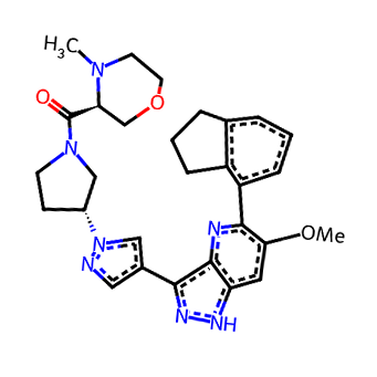 COc1cc2[nH]nc(-c3cnn([C@@H]4CCN(C(=O)[C@@H]5COCCN5C)C4)c3)c2nc1-c1cccc2c1CCC2